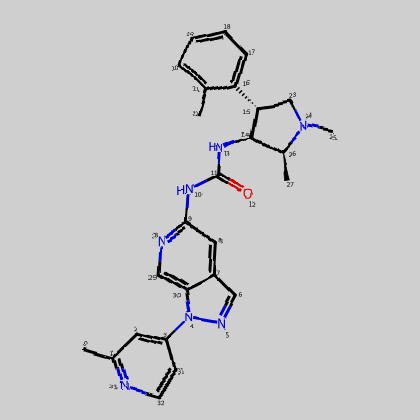 Cc1cc(-n2ncc3cc(NC(=O)N[C@H]4[C@H](c5ccccc5C)CN(C)[C@H]4C)ncc32)ccn1